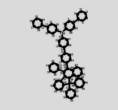 c1ccc(-c2ccc(N(c3ccc(-c4ccccc4)cc3)c3ccc(-c4ccc(-c5c(-c6ccccc6)c6c(c7ccccc57)C(c5ccccc5)(c5ccccc5)c5ccccc5-6)cc4)cc3)cc2)cc1